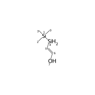 C[Si](C)(C)[SiH2]C=CO